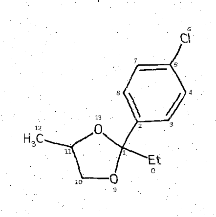 CCC1(c2ccc(Cl)cc2)OCC(C)O1